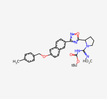 Cc1ccc(COc2ccc3cc(-c4noc(C5CCCN5C(=NC(=O)O)NC(=O)OC(C)(C)C)n4)ccc3c2)cc1